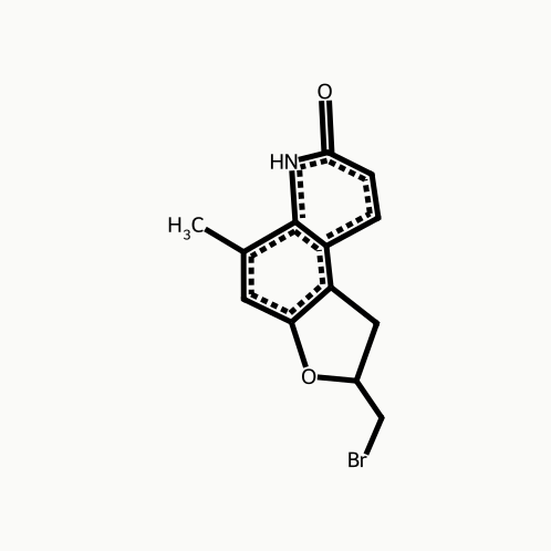 Cc1cc2c(c3ccc(=O)[nH]c13)CC(CBr)O2